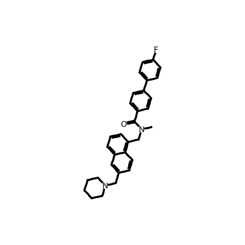 CN(Cc1cccc2cc(CN3CCCCC3)ccc12)C(=O)c1ccc(-c2ccc(F)cc2)cc1